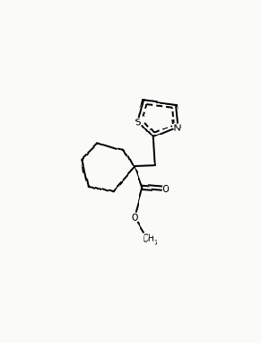 COC(=O)C1(Cc2nccs2)CCCCC1